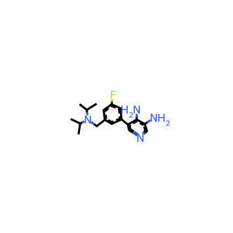 CC(C)N(Cc1cc(F)cc(-c2cncc(N)c2N)c1)C(C)C